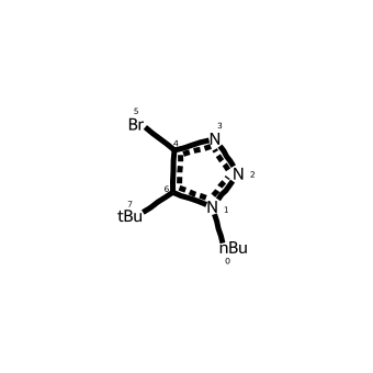 CCCCn1nnc(Br)c1C(C)(C)C